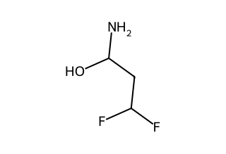 NC(O)CC(F)F